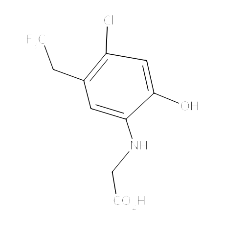 O=C(O)CNc1cc(CC(F)(F)F)c(Cl)cc1O